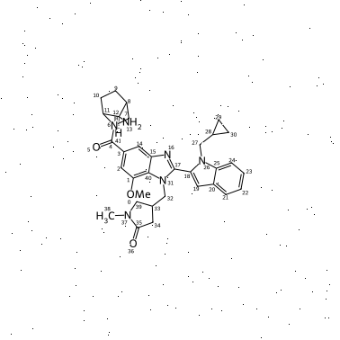 COc1cc(C(=O)N2CC3CCC2[C@@H]3N)cc2nc(-c3cc4ccccc4n3CC3CC3)n(CC3CC(=O)N(C)C3)c12